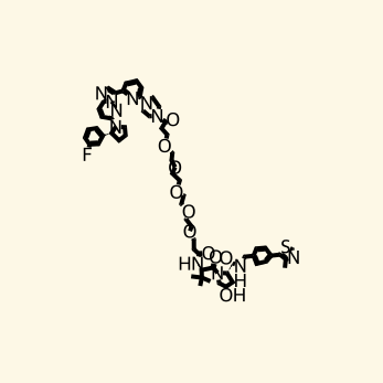 Cc1ncsc1-c1ccc(CNC(=O)[C@@H]2C[C@@H](O)CN2C(=O)[C@@H](NC(=O)CCOCCOCCOCCOCCOCCC(=O)N2CCN(c3cccc(-c4cnc5ccc(N6CCC[C@@H]6c6cccc(F)c6)nn45)n3)CC2)C(C)(C)C)cc1